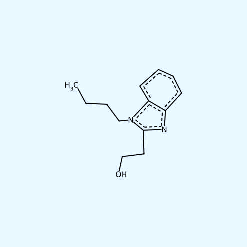 CCCCn1c(CCO)nc2ccccc21